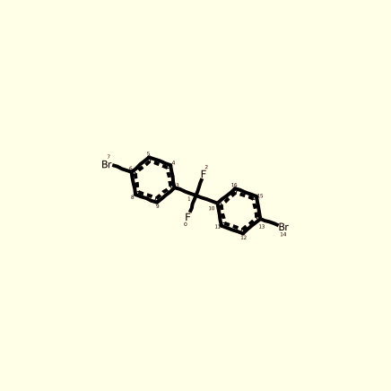 FC(F)(c1ccc(Br)cc1)c1ccc(Br)cc1